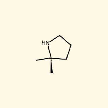 [CH2][C@]1(C)CCCN1